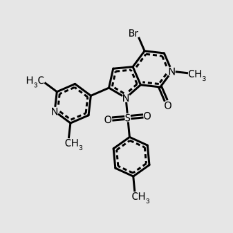 Cc1ccc(S(=O)(=O)n2c(-c3cc(C)nc(C)c3)cc3c(Br)cn(C)c(=O)c32)cc1